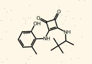 Cc1cccc(O)c1Nc1c(NC(C)C(C)(C)C)c(=O)c1=O